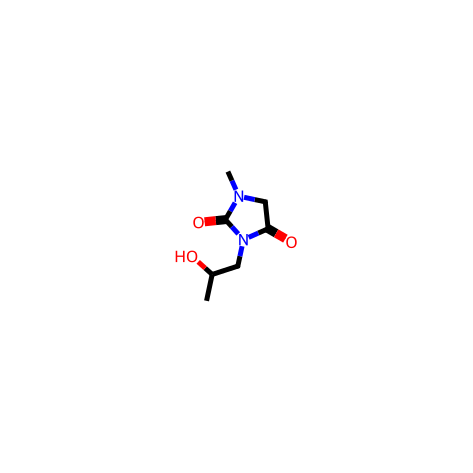 CC(O)CN1C(=O)CN(C)C1=O